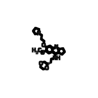 COc1cc2c(NCC[C@H]3COCCO3)c3c(nc2cc1OCCCN1CCCC1)CCC3